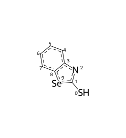 Sc1nc2ccccc2[se]1